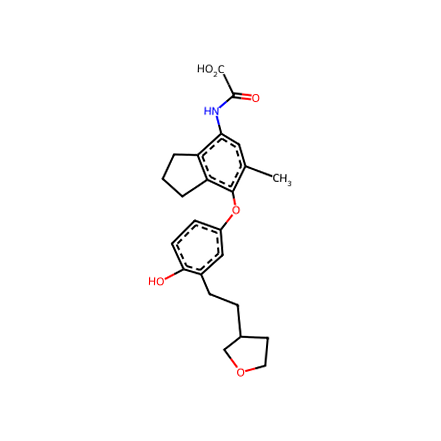 Cc1cc(NC(=O)C(=O)O)c2c(c1Oc1ccc(O)c(CCC3CCOC3)c1)CCC2